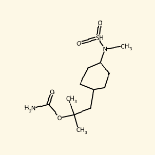 CN(C1CCC(CC(C)(C)OC(N)=O)CC1)[SH](=O)=O